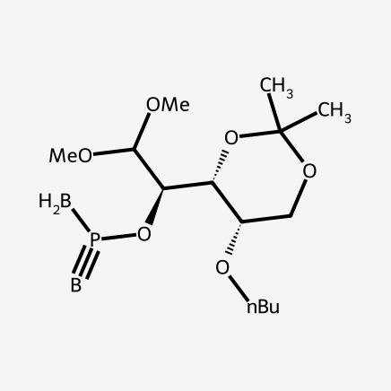 B#P(B)O[C@@H](C(OC)OC)[C@@H]1OC(C)(C)OC[C@@H]1OCCCC